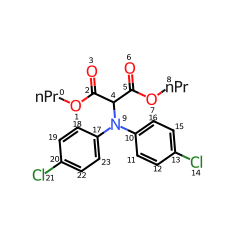 CCCOC(=O)C(C(=O)OCCC)N(c1ccc(Cl)cc1)c1ccc(Cl)cc1